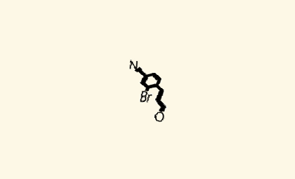 N#Cc1ccc(/C=C/C=O)c(Br)c1